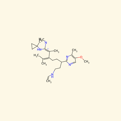 C=CNCCC(CCC(=C(C)C)/C(C)=C(/N=C)NC1(C)CC1)c1ncc(OC)c(C)n1